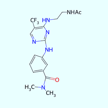 CC(=O)NCCNc1nc(Nc2cccc(C(=O)N(C)C)c2)ncc1C(F)(F)F